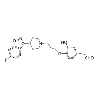 O=CCc1ccc(OCCCN2CCC(c3noc4cc(F)ccc34)CC2)c(O)c1